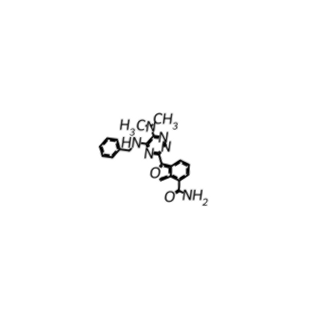 CN(C)c1nnc(-c2occ3c(C(N)=O)cccc23)nc1NCc1ccccc1